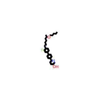 CCCCCOC(C)CCC/C=C/c1ccc(-c2ccc(-c3ccc(O)cn3)cc2)cc1F